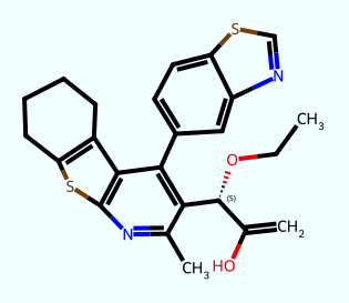 C=C(O)[C@@H](OCC)c1c(C)nc2sc3c(c2c1-c1ccc2scnc2c1)CCCC3